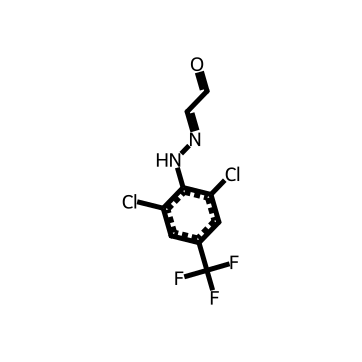 O=CC=NNc1c(Cl)cc(C(F)(F)F)cc1Cl